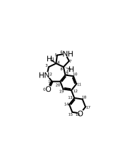 O=C1NC[C@@H]2CNC[C@H]2c2ccc(C3=CCOCC3)cc21